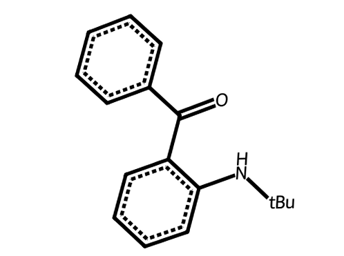 CC(C)(C)Nc1ccccc1C(=O)c1ccccc1